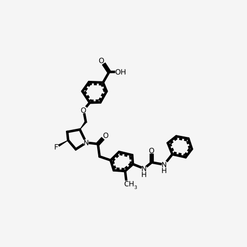 Cc1cc(CC(=O)N2C[C@@H](F)C[C@H]2COc2ccc(C(=O)O)cc2)ccc1NC(=O)Nc1ccccc1